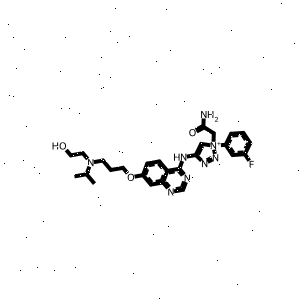 CC(C)N(CCO)CCCOc1ccc2c(NC3=C[N+](CC(N)=O)(c4cccc(F)c4)N=N3)ncnc2c1